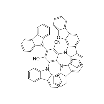 N#Cc1c(-n2c3ccccc3c3ccccc32)c(C#N)c(-n2c3ccccc3c3ccc4c5ccccc5oc4c32)c(-n2c3ccccc3c3ccccc32)c1-n1c2ccccc2c2ccccc21